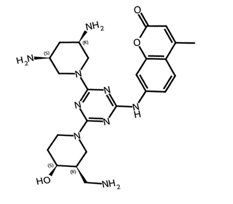 Cc1cc(=O)oc2cc(Nc3nc(N4C[C@H](N)C[C@H](N)C4)nc(N4CC[C@H](O)[C@H](CN)C4)n3)ccc12